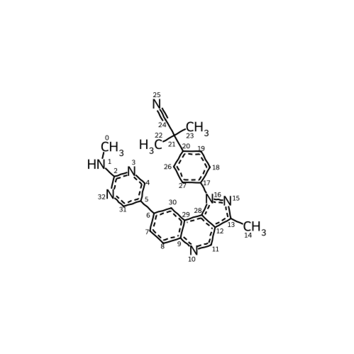 CNc1ncc(-c2ccc3ncc4c(C)nn(-c5ccc(C(C)(C)C#N)cc5)c4c3c2)cn1